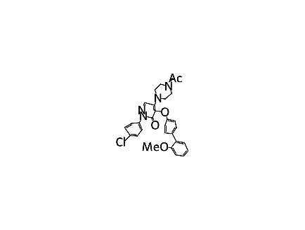 COc1ccccc1-c1ccc(Oc2c(N3CCN(C(C)=O)CC3)cnn(-c3ccc(Cl)cc3)c2=O)cc1